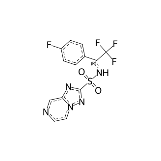 O=S(=O)(N[C@H](c1ccc(F)cc1)C(F)(F)F)c1nc2cnccn2n1